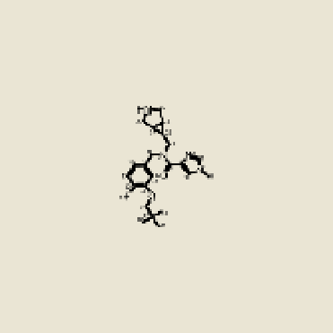 Cn1cnc(C(=O)N(Cc2ccc(F)c(OCC(C)(C)C)c2)CC2C3CNCC32)c1